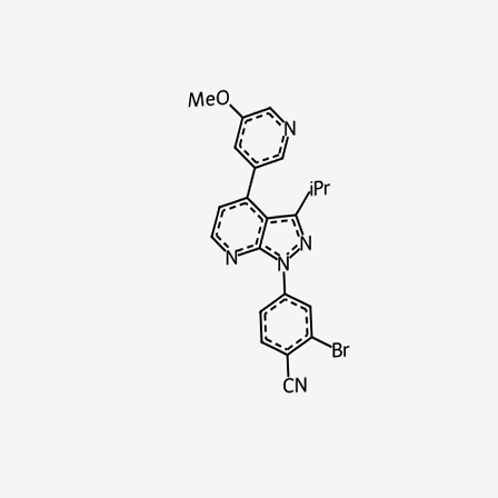 COc1cncc(-c2ccnc3c2c(C(C)C)nn3-c2ccc(C#N)c(Br)c2)c1